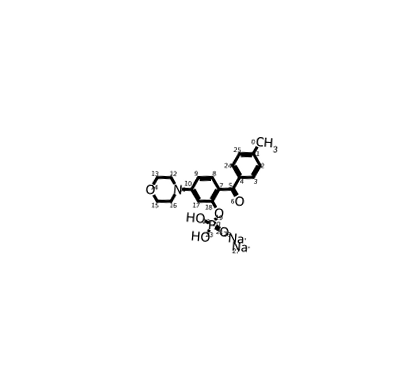 Cc1ccc(C(=O)c2ccc(N3CCOCC3)cc2OP(=O)(O)O)cc1.[Na].[Na]